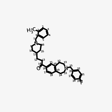 Cc1ccccc1CN1CCC(CCC(=O)c2ccc3c(c2)CCN(Cc2ccc(F)cc2)CC3)CC1